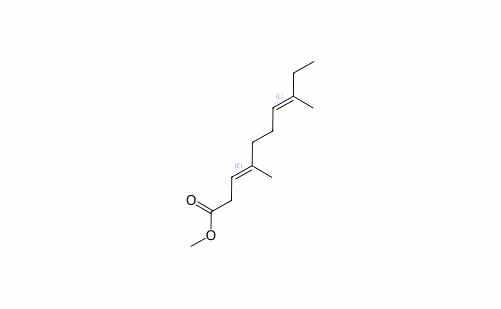 CC/C(C)=C/CC/C(C)=C/CC(=O)OC